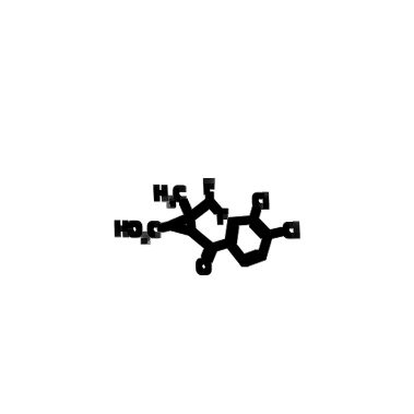 CC1(C(F)F)C(C(=O)O)C1C(=O)c1ccc(Cl)c(Cl)c1